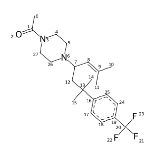 CC(=O)N1CCN(C(C=C(C)C)CC(C)(C)c2ccc(C(F)(F)F)cc2)CC1